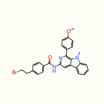 COc1ccc(-c2nc(NC(=O)c3ccc(CCBr)cc3)cc3c4ccccc4n(C)c23)cc1